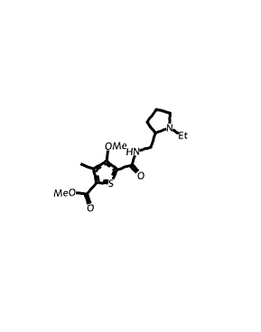 CCN1CCCC1CNC(=O)c1sc(C(=O)OC)c(C)c1OC